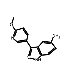 COc1ccc(-c2n[nH]c3ccc(N)cc23)cn1